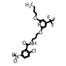 CCCCOc1cc(C(F)(F)F)cc(OCCCNC(=O)c2cc([N+](=O)[O-])ccc2Cl)n1